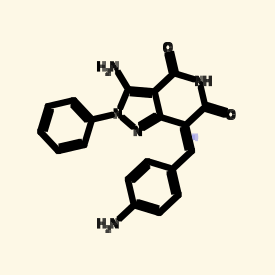 Nc1ccc(/C=C2/C(=O)NC(=O)c3c2nn(-c2ccccc2)c3N)cc1